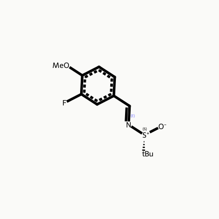 COc1ccc(/C=N/[S@+]([O-])C(C)(C)C)cc1F